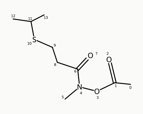 CC(=O)ON(C)C(=O)CCSC(C)C